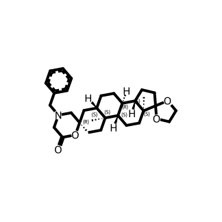 C[C@]12CC[C@@]3(C[C@@H]1CC[C@@H]1[C@@H]2CC[C@@]2(C)[C@H]1CCC21OCCO1)CN(Cc1ccccc1)CC(=O)O3